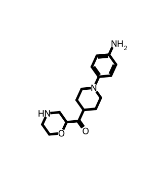 Nc1ccc(N2CCC(C(=O)C3CNCCO3)CC2)cc1